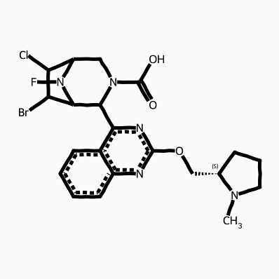 CN1CCC[C@H]1COc1nc(C2C3C(Br)C(Cl)C(CN2C(=O)O)N3F)c2ccccc2n1